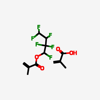 C=C(C)C(=O)O.C=C(C)C(=O)OC(F)C(F)(F)C(F)C(F)F